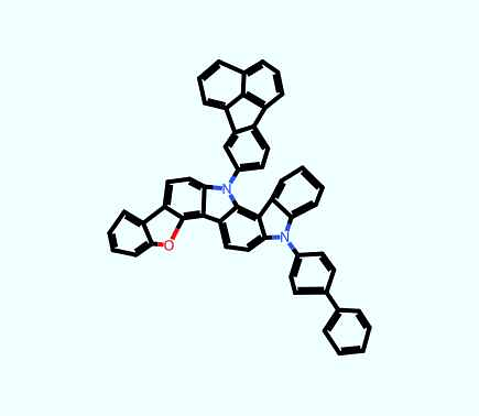 c1ccc(-c2ccc(-n3c4ccccc4c4c3ccc3c5c6oc7ccccc7c6ccc5n(-c5ccc6c(c5)-c5cccc7cccc-6c57)c34)cc2)cc1